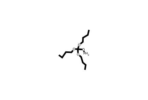 CCCCOC(OP)(OCCCC)OCCCC